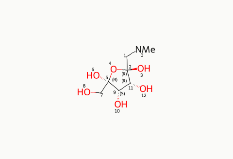 CNC[C@@]1(O)O[C@](O)(CO)[C@@H](O)[C@H]1O